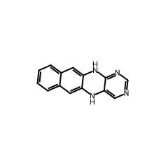 c1ccc2cc3c(cc2c1)Nc1cncnc1N3